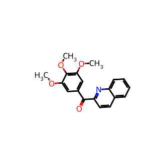 COc1cc(C(=O)c2ccc3ccccc3n2)cc(OC)c1OC